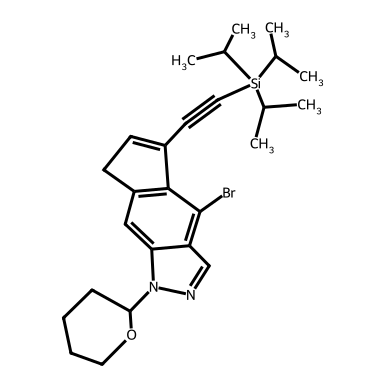 CC(C)[Si](C#CC1=CCc2cc3c(cnn3C3CCCCO3)c(Br)c21)(C(C)C)C(C)C